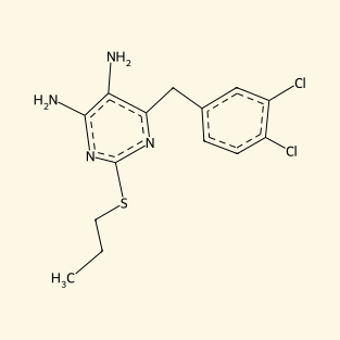 CCCSc1nc(N)c(N)c(Cc2ccc(Cl)c(Cl)c2)n1